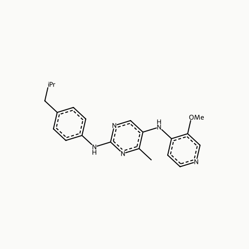 COc1cnccc1Nc1cnc(Nc2ccc(CC(C)C)cc2)nc1C